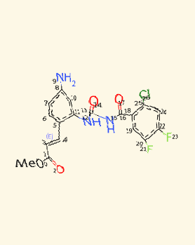 COC(=O)/C=C/c1ccc(N)cc1NC(=O)NC(=O)c1cc(F)c(F)cc1Cl